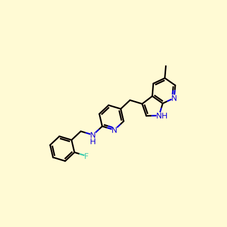 Cc1cnc2[nH]cc(Cc3ccc(NCc4ccccc4F)nc3)c2c1